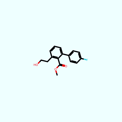 COC(=O)c1c(CCO)cccc1-c1ccc(F)cc1